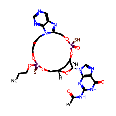 CC(C)C(=O)Nc1nc2c(ncn2[C@@H]2O[C@@H]3COP(=S)(OCCC#N)OC4CC(C4)n4c(nc5cncnc54)COP(=O)(S)O[C@@H]2C3)c(=O)[nH]1